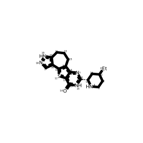 CCC1CCN[C@H](c2nc3c4c(sc3c(=O)[nH]2)-c2cn[nH]c2CCC4)C1